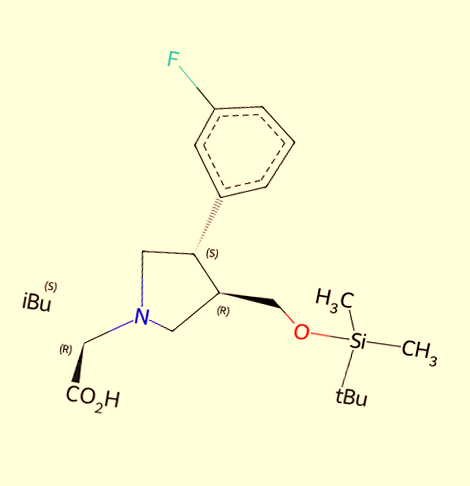 CC[C@H](C)[C@H](C(=O)O)N1C[C@H](CO[Si](C)(C)C(C)(C)C)[C@@H](c2cccc(F)c2)C1